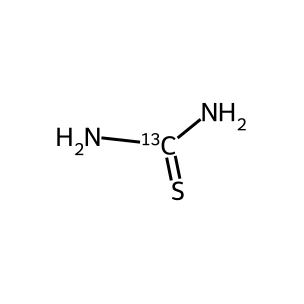 N[13C](N)=S